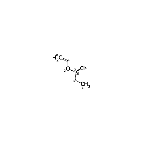 C=CO[C@@H](Cl)CC